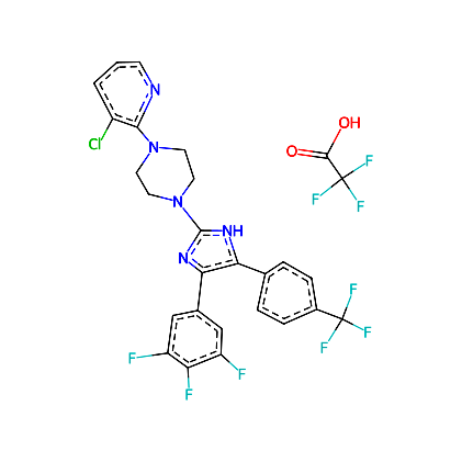 Fc1cc(-c2nc(N3CCN(c4ncccc4Cl)CC3)[nH]c2-c2ccc(C(F)(F)F)cc2)cc(F)c1F.O=C(O)C(F)(F)F